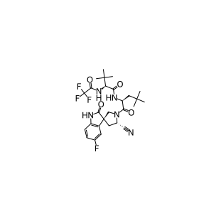 CC(C)(C)C[C@H](NC(=O)[C@@H](NC(=O)C(F)(F)F)C(C)(C)C)C(=O)N1C[C@]2(C[C@H]1C#N)C(=O)Nc1ccc(F)cc12